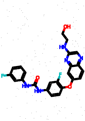 O=C(Nc1cccc(F)c1)Nc1ccc(Oc2ccc3ncc(NCCO)nc3c2)c(F)c1